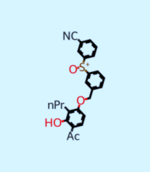 CCCc1c(OCc2cccc([S+]([O-])c3cccc(C#N)c3)c2)ccc(C(C)=O)c1O